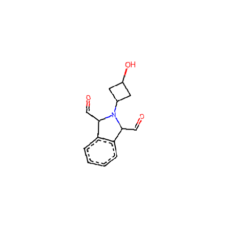 O=CC1c2ccccc2C(C=O)N1C1CC(O)C1